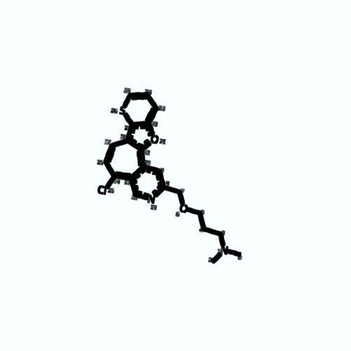 CN(C)CCCOCc1cc2c(cn1)=C(Cl)C=Cc1c3c(oc1=2)=CC=CS3